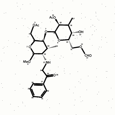 COC1OC(COC(C)=O)[C@@H](OC2O[C@@H](COC=O)[C@@H](O)C(C)[C@@H]2OC(C)=O)[C@H](C)[C@@H]1NCC(=O)c1ccccc1